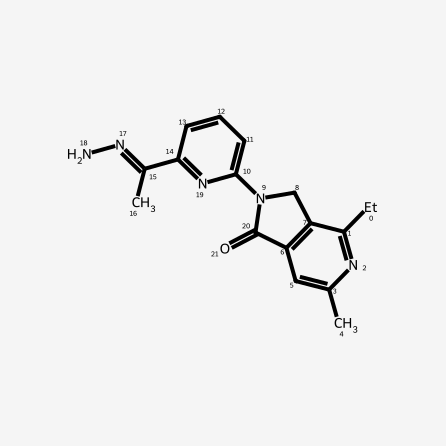 CCc1nc(C)cc2c1CN(c1cccc(/C(C)=N/N)n1)C2=O